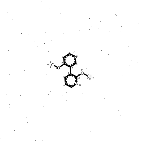 COc1ccncc1-c1cccnc1OC